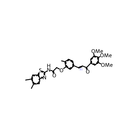 COc1cc(C(=O)/C=C/c2ccc(C)c(OCC(=O)Nc3nc4cc(C)c(C)cc4s3)c2)cc(OC)c1OC